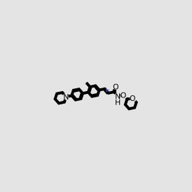 Cc1cc(/C=C/C(=O)NOC2CCCCO2)ccc1-c1ccc(N2CCCCC2)cc1